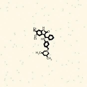 CCOc1cc2c(cc1OCC)C(=C(Nc1ccc(CN3CC(C)CC(C)C3)cc1)c1ccccc1)C(=O)N2